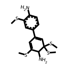 CSC1=CC(c2ccc(N)c(SC)c2)=CC(SC)(SC)C1N